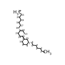 CCCCCCC[C@@H]1CCC[C@@H]([C@H]2CC[C@@H](CCCCCCC)CC2)C1